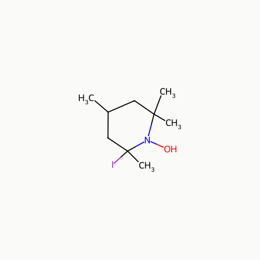 CC1CC(C)(C)N(O)C(C)(I)C1